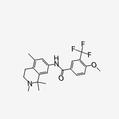 COc1ccc(C(=O)Nc2cc(C)c3c(c2)C(C)(C)N(C)CC3)cc1C(F)(F)F